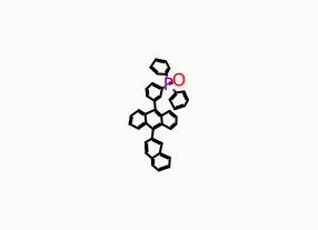 O=P(c1ccccc1)(c1ccccc1)c1cccc(-c2c3ccccc3c(-c3ccc4ccccc4c3)c3ccccc23)c1